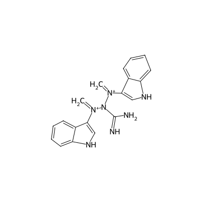 C=[N+](c1c[nH]c2ccccc12)N(C(=N)N)[N+](=C)c1c[nH]c2ccccc12